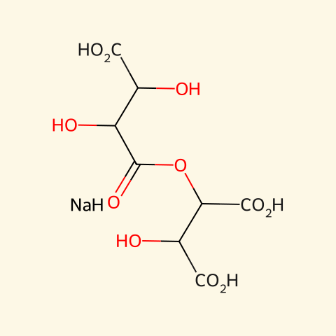 O=C(O)C(O)C(O)C(=O)OC(C(=O)O)C(O)C(=O)O.[NaH]